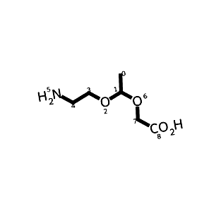 CC(OCCN)OCC(=O)O